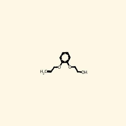 C=CCOc1ccccc1OCCO